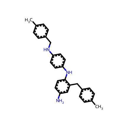 Cc1ccc(CNc2ccc(Nc3ccc(N)cc3Cc3ccc(C)cc3)cc2)cc1